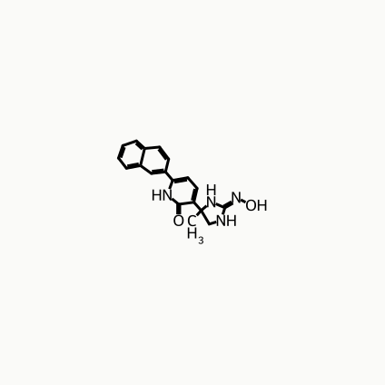 CC1(c2ccc(-c3ccc4ccccc4c3)[nH]c2=O)CN/C(=N\O)N1